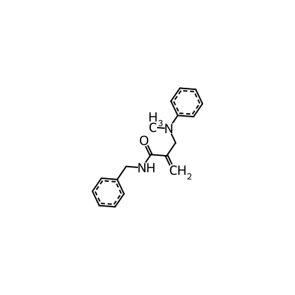 C=C(CN(C)c1ccccc1)C(=O)NCc1ccccc1